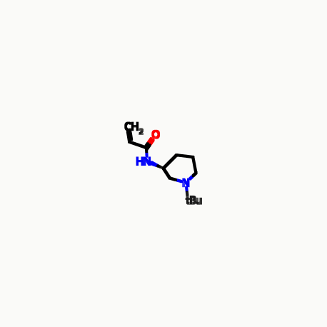 C=CC(=O)N[C@H]1CCCN(C(C)(C)C)C1